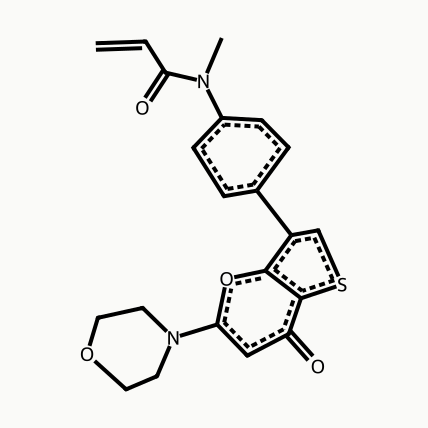 C=CC(=O)N(C)c1ccc(-c2csc3c(=O)cc(N4CCOCC4)oc23)cc1